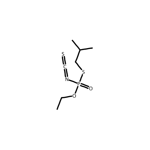 CCOP(=O)(N=C=S)SCC(C)C